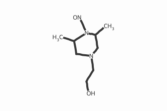 CC1CN(CCO)CC(C)N1N=O